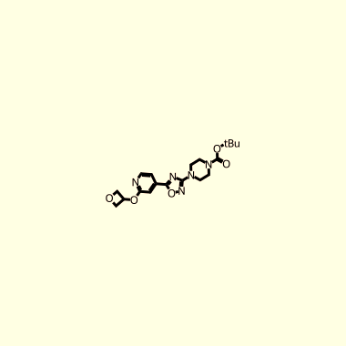 CC(C)(C)OC(=O)N1CCN(c2noc(-c3ccnc(OC4COC4)c3)n2)CC1